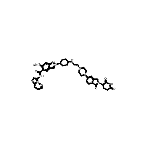 COc1cc2nn(C3CCC(NCCN4CCN(c5ccc6c(c5)CN(C5CCC(=O)NC5=O)C6=O)CC4)CC3)cc2cc1C(=O)Nc1cnc2cccnn12